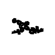 CCCCOC(=O)c1ccc(CCN(CCc2ccccc2OCC2(C(F)(F)F)C=CC(c3ccccc3)=CC2Cl)[C@H]2CCCc3nc(C(=O)OCCCC)ccc32)cc1